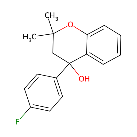 CC1(C)CC(O)(c2ccc(F)cc2)c2ccccc2O1